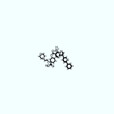 CC(=O)c1c(N)n2ncc(-c3ccc(-c4ccccc4)nc3)c2nc1[C@H]1CC[C@](OCCN2CCOCC2)(C(=O)O)CC1